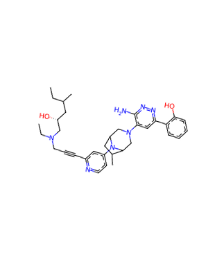 CCC(C)C[C@@H](O)CN(CC)CC#Cc1cc(N2C3CC(C)C2CN(c2cc(-c4ccccc4O)nnc2N)C3)ccn1